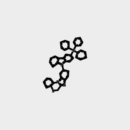 c1ccc([Si](c2ccccc2)(c2ccccc2)c2ccc3c(c2)c2ccccc2n3-c2ccc3nc4n(c3c2)-c2ccccc2SC4)cc1